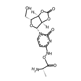 C[C@H](N)C(=O)ONc1ccn([C@@H]2O[C@H](CO)[C@H]3OC(=O)O[C@H]32)c(=O)n1